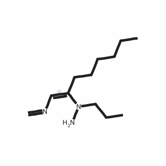 C=N/C=C(/CCCCCC)N(N)CCC